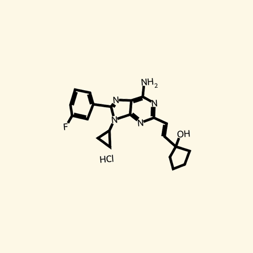 Cl.Nc1nc(C=CC2(O)CCCC2)nc2c1nc(-c1cccc(F)c1)n2C1CC1